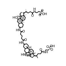 C[C@H](CCC(=O)NCCS(=O)(=O)O)[C@H]1CC[C@H]2[C@@H]3[C@@H](O)CC4C[C@H](NC(=O)CCCC(=O)N[C@@H]5CC[C@@]6(C)C(C5)CC5(NN5)[C@H]5[C@@H]7CC[C@H]([C@H](C)CCC(=O)NCCS(=O)(=O)O)[C@@]7(C)CC[C@@H]56)CC[C@]4(C)[C@H]3CC[C@]12C